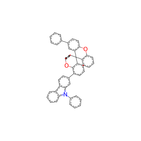 c1ccc(-c2ccc3c(c2)C2(c4ccccc4O3)c3ccccc3Oc3c(-c4ccc5c6ccccc6n(-c6ccccc6)c5c4)cccc32)cc1